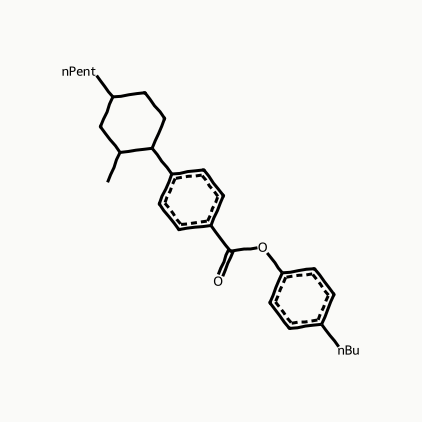 CCCCCC1CCC(c2ccc(C(=O)Oc3ccc(CCCC)cc3)cc2)C(C)C1